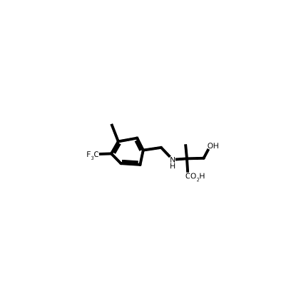 Cc1cc(CNC(C)(CO)C(=O)O)ccc1C(F)(F)F